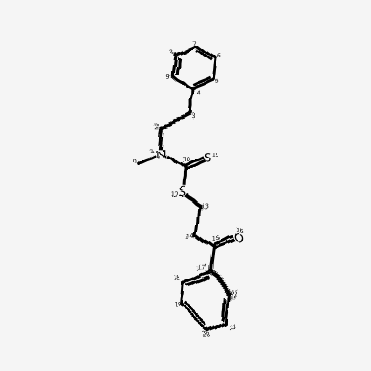 CN(CCc1ccccc1)C(=S)SCCC(=O)c1ccccc1